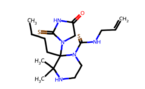 C=CCNC(=S)N1CCNC(C)(C)C1(CCCC)N1CC(=O)NC1=S